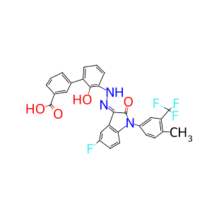 Cc1ccc(N2C(=O)C(=NNc3cccc(-c4cccc(C(=O)O)c4)c3O)c3cc(F)ccc32)cc1C(F)(F)F